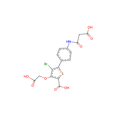 O=C(O)COc1c(C(=O)O)sc(-c2ccc(NC(=O)CC(=O)O)cc2)c1Br